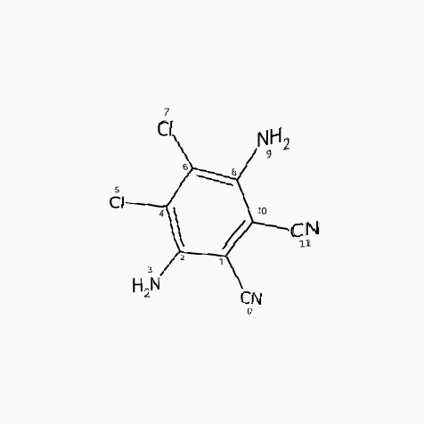 N#Cc1c(N)c(Cl)c(Cl)c(N)c1C#N